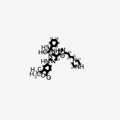 CC1(C)OC(=O)c2ccc(Nc3ncc(-c4nnc(CCCN5CCNCC5)o4)c(N[C@@](S)(CO)c4ccccc4)n3)cc21